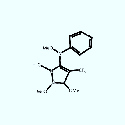 COC1C(C(F)(F)F)=C(N(OC)c2ccccc2)N(C)N1OC